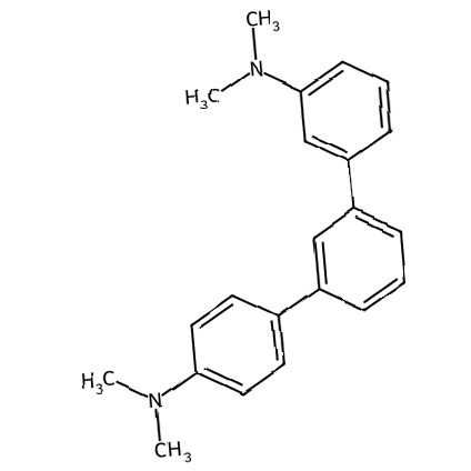 CN(C)c1ccc(-c2cccc(-c3cccc(N(C)C)c3)c2)cc1